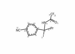 CC(C)C(I)(NC(=O)C(F)(F)F)c1ccc(C#N)cc1